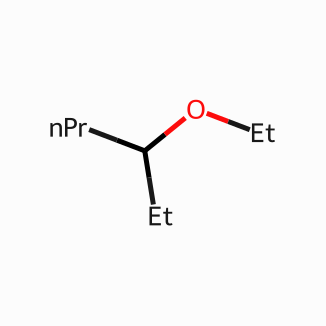 CCCC(CC)OCC